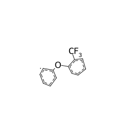 FC(F)(F)c1ccccc1Oc1[c]cccc1